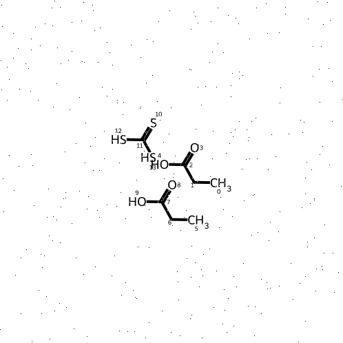 CCC(=O)O.CCC(=O)O.S=C(S)S